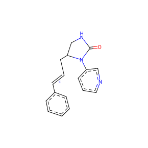 O=C1NCC(C/C=C/c2ccccc2)N1c1cccnc1